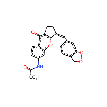 O=C(O)C(=O)Nc1ccc2c(=O)c3c(oc2c1)/C(=C\c1ccc2c(c1)OOC2)CC3